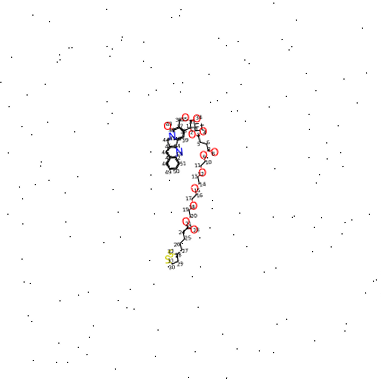 CCC1(OC(=O)CCC(=O)OCCOCCOCCOCCOC(=O)CCCCC2CCSS2)C(=O)OCc2c1cc1n(c2=O)Cc2cc3ccccc3nc2-1